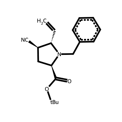 C=C[C@H]1[C@H](C#N)C[C@H](C(=O)OC(C)(C)C)N1Cc1ccccc1